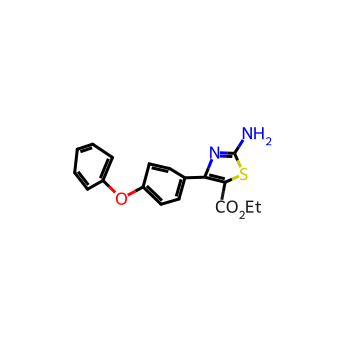 CCOC(=O)c1sc(N)nc1-c1ccc(Oc2ccccc2)cc1